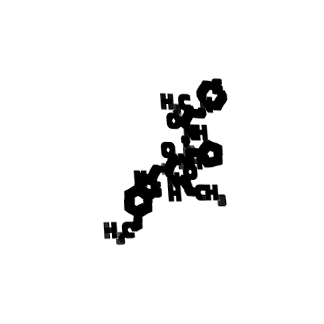 C=C(CN1CCSCC1)C(=O)NC[C@@H](NC(=O)[C@H](Cc1nc2ccc(CC)cc2s1)NC(=O)CC)C1CCCC1